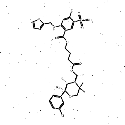 C[C@@H]1N([C@@H](C)OC(=O)CCCOC(=O)c2cc(S(N)(=O)=O)c(Cl)cc2NCc2ccco2)C(C)(C)CO[C@@]1(O)c1cccc(Cl)c1